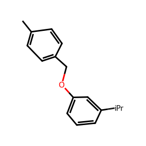 Cc1ccc(COc2cccc(C(C)C)c2)cc1